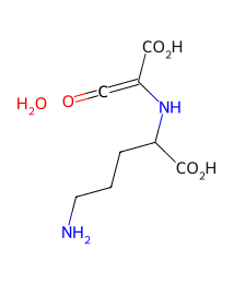 NCCCC(NC(=C=O)C(=O)O)C(=O)O.O